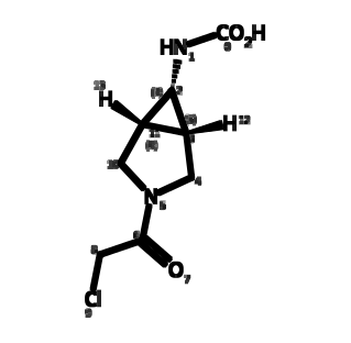 O=C(O)N[C@@H]1[C@@H]2CN(C(=O)CCl)C[C@@H]21